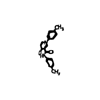 Cc1ccc(NC(=O)c2cn(-c3ccc(C)cc3)ccc2=O)cc1